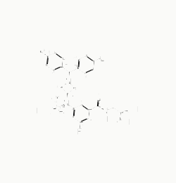 CC(O)CNC(=O)c1cc(F)cc(N(C2CN(C(c3ccc(Cl)cc3)c3ccc(Cl)cc3)C2)S(C)(=O)=O)c1